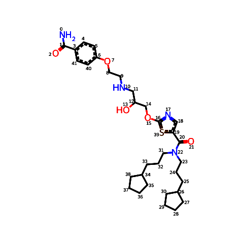 NC(=O)c1ccc(OCCNCC(O)COc2ncc(C(=O)N(CCCC3CCCC3)CCCC3CCCC3)s2)cc1